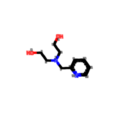 OCCN(CCO)Cc1ccccn1